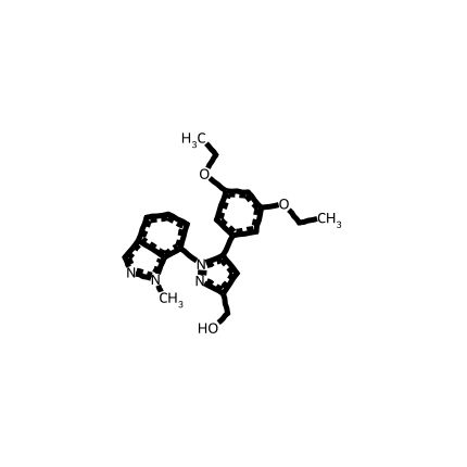 CCOc1cc(OCC)cc(-c2cc(CO)nn2-c2cccc3cnn(C)c23)c1